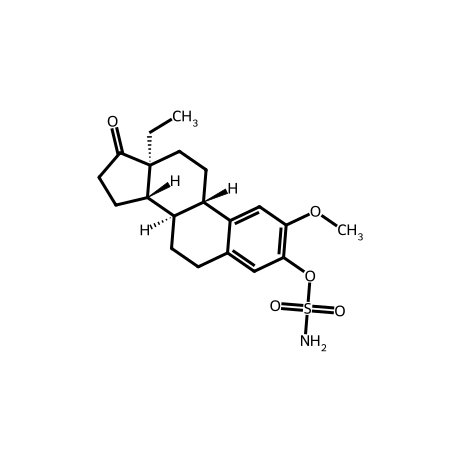 CC[C@]12CC[C@@H]3c4cc(OC)c(OS(N)(=O)=O)cc4CC[C@H]3[C@@H]1CCC2=O